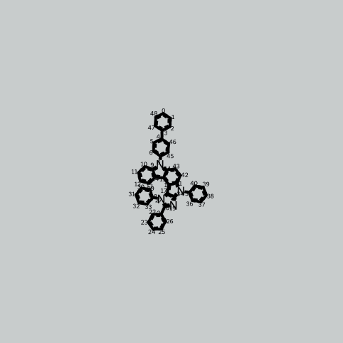 c1ccc(-c2ccc(-n3c4ccccc4c4c5c6c(nc(-c7ccccc7)n6-c6ccccc6)n(-c6ccccc6)c5ccc43)cc2)cc1